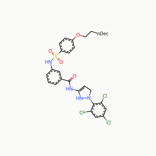 CCCCCCCCCCCCOc1ccc(S(=O)(=O)Nc2cccc(C(=O)NC3=CCN(c4c(Cl)cc(Cl)cc4Cl)N3)c2)cc1